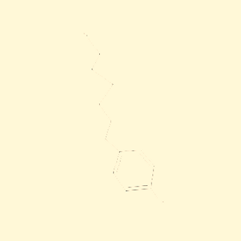 [NH]CCCCCCc1ccc(O)cc1